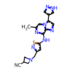 Cc1cn2c(-c3cn[nH]c3)cnc2c(Nc2cc(CN3CC(C#N)C3)ns2)n1